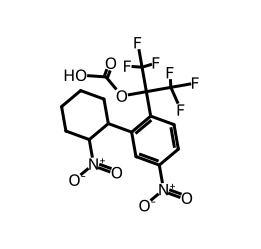 O=C(O)OC(c1ccc([N+](=O)[O-])cc1C1CCCCC1[N+](=O)[O-])(C(F)(F)F)C(F)(F)F